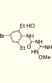 CCc1cc(Br)cc(CC)c1NC(=O)NC(=N)NOC.Cl